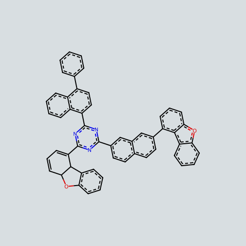 C1=CC2Oc3ccccc3C2C(c2nc(-c3ccc4ccc(-c5cccc6oc7ccccc7c56)cc4c3)nc(-c3ccc(-c4ccccc4)c4ccccc34)n2)=C1